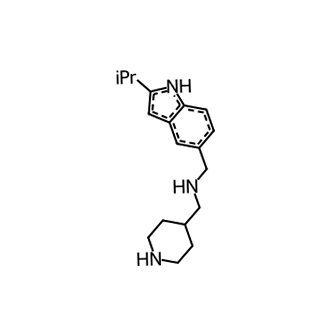 CC(C)c1cc2cc(CNCC3CCNCC3)ccc2[nH]1